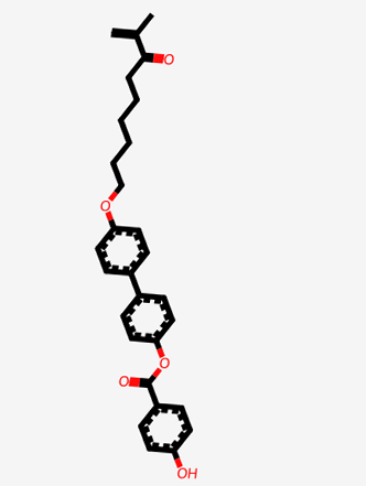 C=C(C)C(=O)CCCCCCOc1ccc(-c2ccc(OC(=O)c3ccc(O)cc3)cc2)cc1